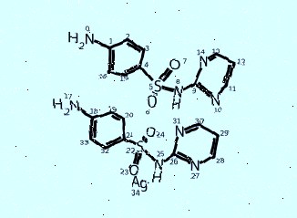 Nc1ccc(S(=O)(=O)Nc2ncccn2)cc1.Nc1ccc(S(=O)(=O)Nc2ncccn2)cc1.[Ag]